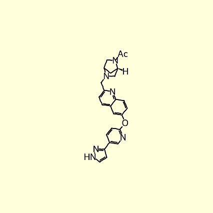 CC(=O)N1CC2C[C@H]1CN2Cc1ccc2cc(Oc3ccc(-c4cc[nH]n4)cn3)ccc2n1